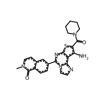 Cn1ccc2cc(-c3nc4sc(C(=O)N5CCCCC5)c(N)c4c4nccn34)ccc2c1=O